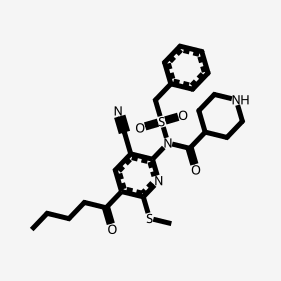 CCCCC(=O)c1cc(C#N)c(N(C(=O)C2CCNCC2)S(=O)(=O)Cc2ccccc2)nc1SC